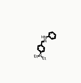 CCN(CC)c1ccc(/C=N/Nc2ccccc2)cc1